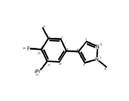 Cc1cc(-c2cnn(C)c2)cc(C(C)C)c1F